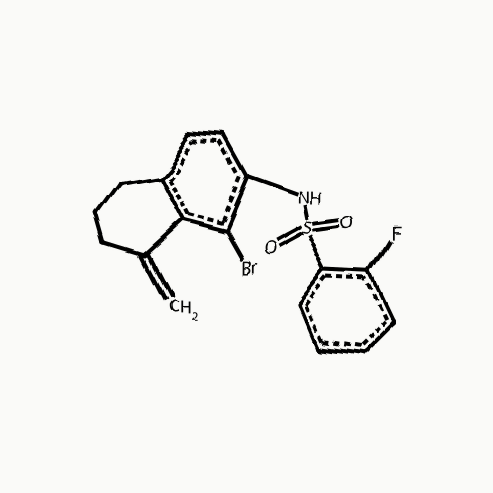 C=C1CCCc2ccc(NS(=O)(=O)c3ccccc3F)c(Br)c21